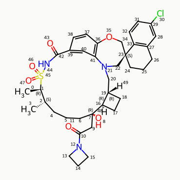 C[C@@H]1[C@@H](C)CCC[C@@](O)(CC(=O)N2CCC2)[C@@H]2CC[C@H]2CN2C[C@@]3(CCCc4cc(Cl)ccc43)COc3ccc(cc32)C(=O)NS1(=O)=O